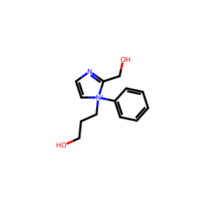 OCCC[N+]1(c2ccccc2)C=CN=C1CO